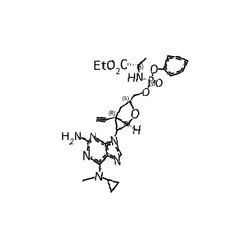 C#C[C@@]12C[C@@H](CO[P@@](=O)(N[C@@H](C)C(=O)OCC)Oc3ccccc3)O[C@H]1C2n1cnc2c(N(C)C3CC3)nc(N)nc21